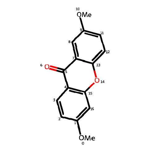 COc1ccc2c(=O)c3cc(OC)ccc3oc2c1